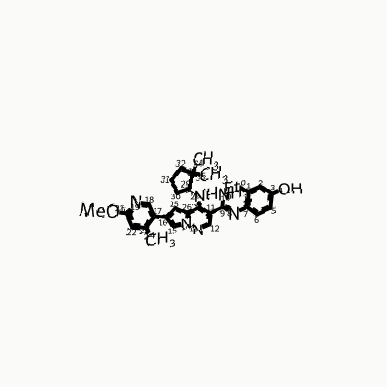 CCc1cc(O)ccc1/N=C(\N)c1cnn2cc(-c3cnc(OC)cc3C)cc2c1N[C@@H]1CCCC1(C)C